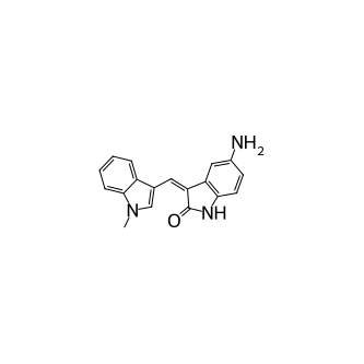 Cn1cc(/C=C2\C(=O)Nc3ccc(N)cc32)c2ccccc21